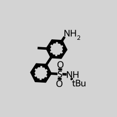 Cc1cc(N)ccc1-c1ccccc1S(=O)(=O)NC(C)(C)C